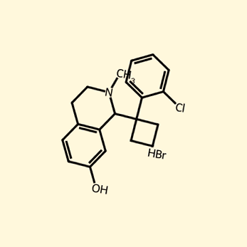 Br.CN1CCc2ccc(O)cc2C1C1(c2ccccc2Cl)CCC1